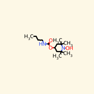 CCCCNC(=O)OC1CC(C)(C)N(O)C(C)(C)C1